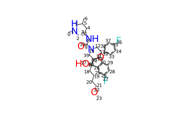 CNC[C@H](CC(C)C)NC(=O)N1CCC[C@@H]([C@@](O)(CCCCOC)c2cc(F)ccc2Oc2ccc(F)cc2)C1